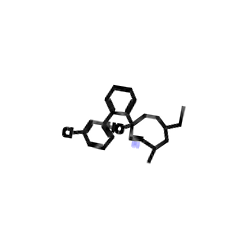 CCC1CCC(O)(c2ccccc2-c2cccc(Cl)c2)/C=C/C(C)C1